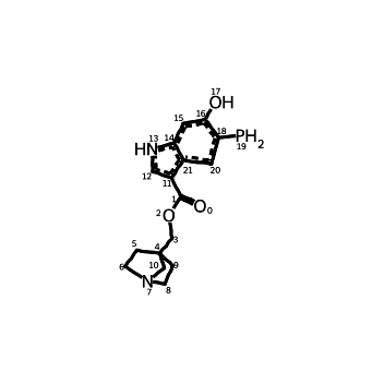 O=C(OCC12CCN(CC1)C2)c1c[nH]c2cc(O)c(P)cc12